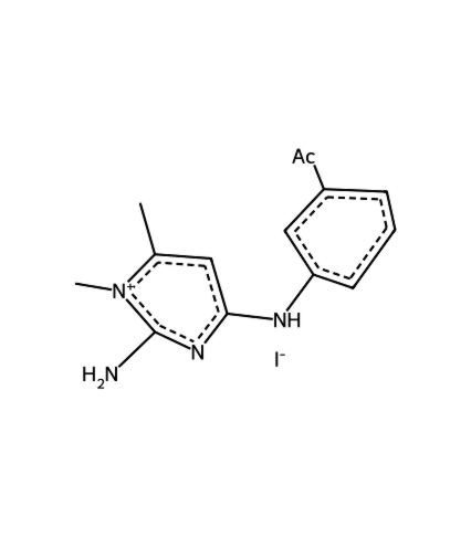 CC(=O)c1cccc(Nc2cc(C)[n+](C)c(N)n2)c1.[I-]